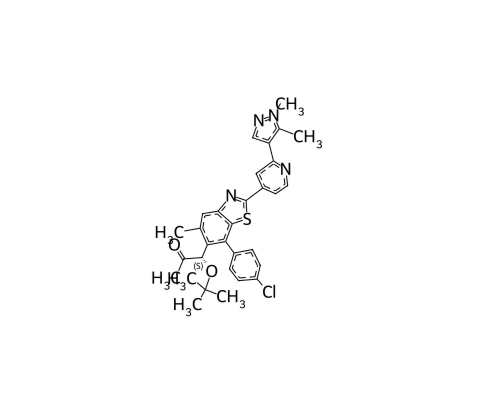 CC(=O)[C@@H](OC(C)(C)C)c1c(C)cc2nc(-c3ccnc(-c4cnn(C)c4C)c3)sc2c1-c1ccc(Cl)cc1